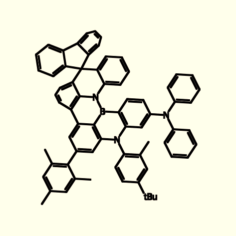 Cc1cc(C)c(-c2cc3c4c(c2)N(c2ccc(C(C)(C)C)cc2C)c2cc(N(c5ccccc5)c5ccccc5)ccc2B4N2c4ccccc4C4(c5ccccc5-c5ccccc54)c4cccc-3c42)c(C)c1